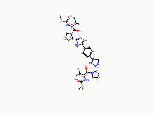 COC(=O)N[C@H](C(=O)N1C[C@@H](C)C[C@H]1c1ncc(-c2ccc(-c3cnc([C@@H]4C[C@H](C)CN4C(=O)[C@@H](NC(=O)OC)C(C)C)[nH]3)cc2)[nH]1)C(C)C